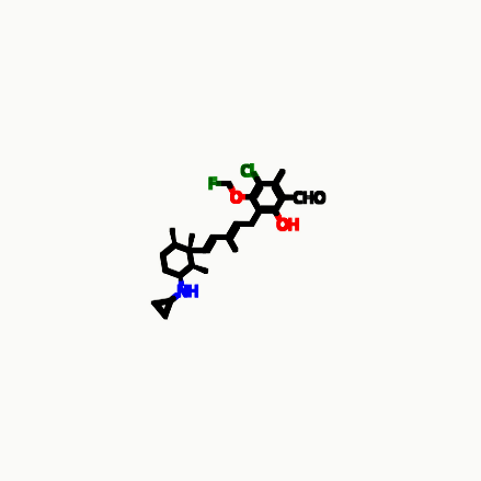 CC(/C=C/[C@@]1(C)[C@H](C)CC[C@H](NC2CC2)[C@@H]1C)=C\Cc1c(O)c(C=O)c(C)c(Cl)c1OCF